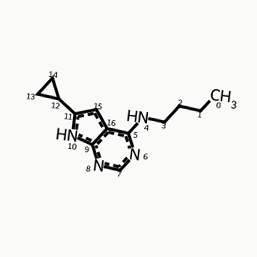 CCCCNc1ncnc2[nH]c(C3CC3)cc12